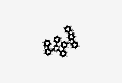 c1ccc(-c2nc(-c3ccccc3-c3cccc(-n4c5ccccc5c5cc6oc7ccccc7c6cc54)c3)nc(-c3cccc4oc5ccccc5c34)n2)cc1